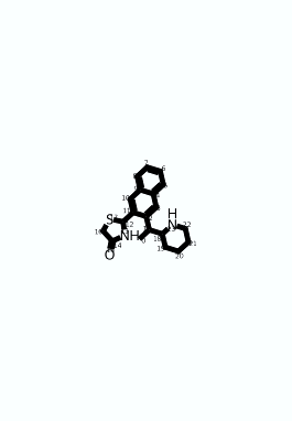 CC(c1cc2ccccc2cc1C1NC(=O)CS1)C1CCCCN1